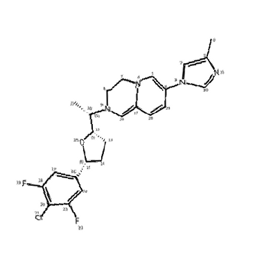 Cc1cn(C2=CN3CCN([C@@H](C)[C@@H]4CC[C@H](c5cc(F)c(Cl)c(F)c5)O4)C=C3C=C2)cn1